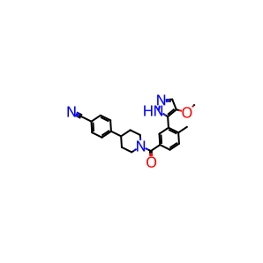 COc1cn[nH]c1-c1cc(C(=O)N2CCC(c3ccc(C#N)cc3)CC2)ccc1C